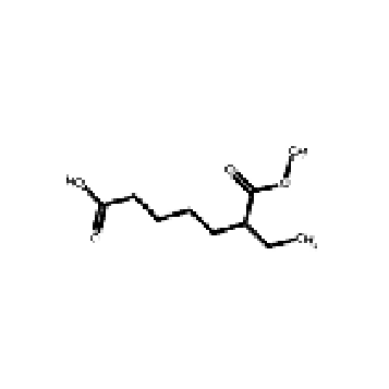 CCC(CCCCC(=O)O)C(=O)OO